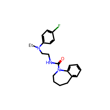 CCN(CCNC(=O)N1CCCCc2ccccc21)c1ccc(F)cc1